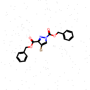 O=C(OCc1ccccc1)c1nn(C(=O)OCc2ccccc2)cc1Br